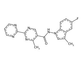 Cc1nc(-c2ncccn2)ncc1C(=O)Nn1cc(C)c2cc(F)ccc21